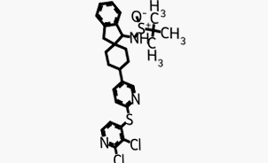 CC(C)(C)[S+]([O-])NC1c2ccccc2CC12CCC(c1ccc(Sc3ccnc(Cl)c3Cl)nc1)CC2